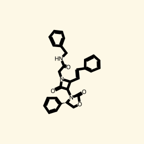 O=C(CN1C(=O)C(N2C(=O)OC[C@@H]2c2ccccc2)C1C=Cc1ccccc1)NCc1ccccc1